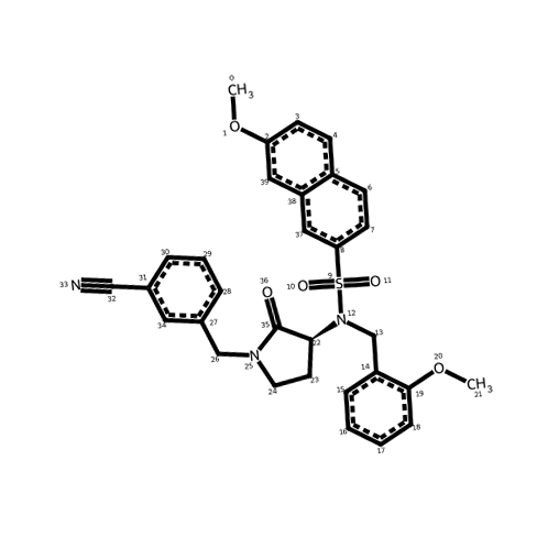 COc1ccc2ccc(S(=O)(=O)N(Cc3ccccc3OC)[C@H]3CCN(Cc4cccc(C#N)c4)C3=O)cc2c1